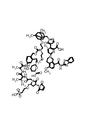 COCCN(CCOC12CC3(C)CC(C)(CC(Cn4ncc(-c5ccc(N6CCc7c(OC)ccc(C(=O)Nc8nc9ccccc9s8)c7C6)nc5C(=O)O)c4C)(C3)C1)C2)C(=O)OCc1ccc(NC(=O)[C@H](C)NC(=O)C(NC(=O)CN2C(=O)[C@@H](N3C(=O)C=CC3=O)C[C@H]2COCCS(=O)(=O)O)C(C)C)cc1CC[C@H]1C[C@@H](O)C[C@@H](C(=O)O)O1